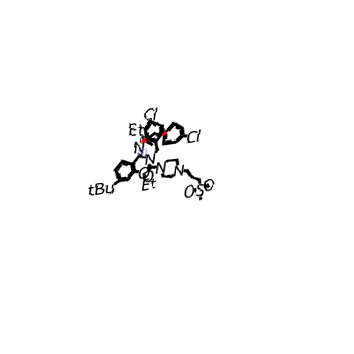 CCOc1cc(C(C)(C)C)ccc1/C(=N/[C@](C)(CC)Cc1ccc(Cl)cc1)N(Cc1ccc(Cl)cc1)C(=O)N1CCN(CCCS(C)(=O)=O)CC1